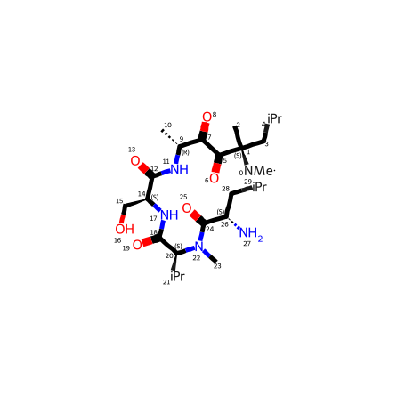 C[N][C@@](C)(CC(C)C)C(=O)C(=O)[C@@H](C)NC(=O)[C@H](CO)NC(=O)[C@H](C(C)C)N(C)C(=O)[C@@H](N)CC(C)C